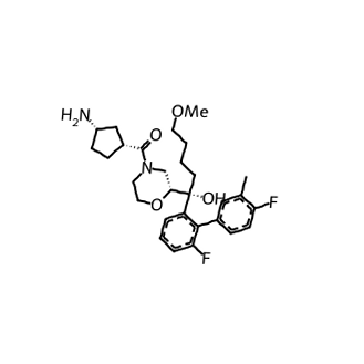 COCCCC[C@@](O)(c1cccc(F)c1-c1ccc(F)c(C)c1)[C@H]1CN(C(=O)[C@@H]2CC[C@H](N)C2)CCO1